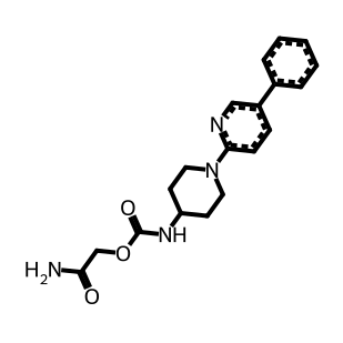 NC(=O)COC(=O)NC1CCN(c2ccc(-c3ccccc3)cn2)CC1